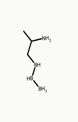 BBBCC(C)N